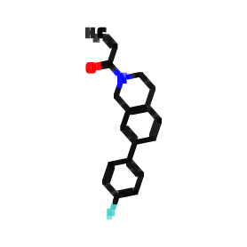 C=CC(=O)N1CCc2ccc(-c3ccc(F)cc3)cc2C1